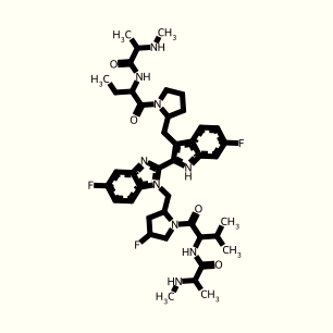 CCC(NC(=O)C(C)NC)C(=O)N1CCCC1Cc1c(-c2nc3cc(F)ccc3n2CC2CC(F)CN2C(=O)C(NC(=O)C(C)NC)C(C)C)[nH]c2cc(F)ccc12